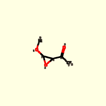 CCOC1OC1C(=O)C(F)(F)F